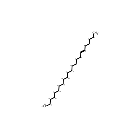 [CH2]CCCCC=CCCCCCCCCCCCCCCC[CH2]